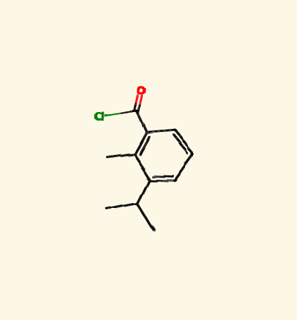 Cc1c(C(=O)Cl)cccc1C(C)C